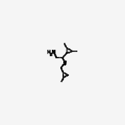 CC1CC1CSC(CN)C1C(C)C1C